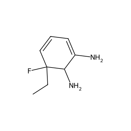 CCC1(F)C=CC=C(N)C1N